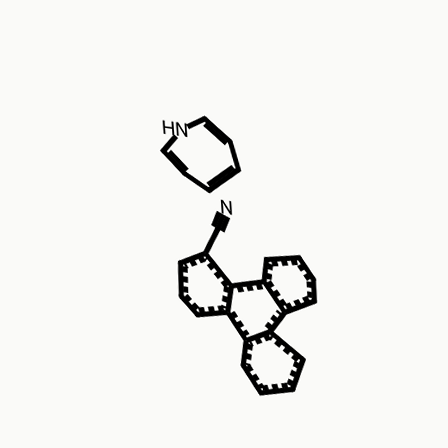 C1=CC=CNC=C1.N#Cc1cccc2c3ccccc3c3ccccc3c12